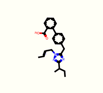 C/C=C/Cn1nc(C(C)CC)nc1Cc1ccc(-c2ccccc2C(=O)O)cc1